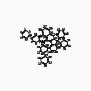 C1=CC[C@H](c2ccc(N(c3ccc(-c4ccccc4)cc3)c3c4c(cc5ccccc35)C(c3ccccc3)(c3ccccc3)c3ccccc3-4)cc2)C=C1